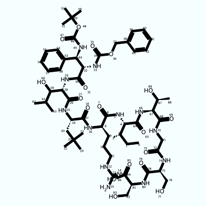 CC[C@H](C)[C@H](NC(=O)[C@@H](CCCNC(=N)N)NC(=O)[C@H](CC(C)(C)C)NC(=O)[C@@H](NC(=O)[C@@H](NC(=O)OCc1ccccc1)[C@H](NC(=O)OC(C)(C)C)c1ccccc1)C(O)C(C)C)C(=O)N[C@H](C(=O)NCC(=O)N[C@@H](CO)C(=O)N[C@@H](CO)C(=O)O)[C@H](C)O